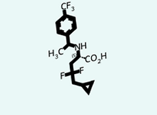 CC(N[C@@H](CC(F)(F)CC1CC1)C(=O)O)c1ccc(C(F)(F)F)cc1